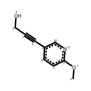 COc1ccc(C#CCO)cn1